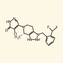 C[C@H]1C2=C(CCN1c1cn[nH]c(=O)c1Cl)N(Cc1ccccc1C(F)F)NN2